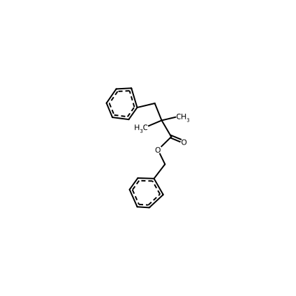 CC(C)(Cc1ccccc1)C(=O)OCc1ccccc1